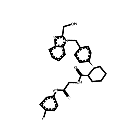 O=C(CNC(=O)[C@@H]1CCCC[C@H]1c1ccc(Cn2c(CO)nc3ccccc32)cc1)Nc1ccc(F)cc1